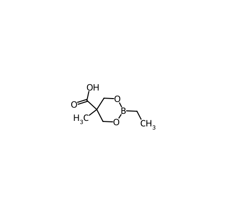 CCB1OCC(C)(C(=O)O)CO1